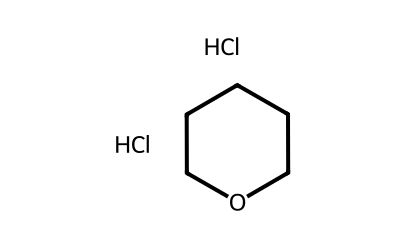 C1CCOCC1.Cl.Cl